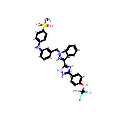 CS(=O)(=O)c1ccc(Nc2cccc(Cn3nc(-c4nc(-c5ccc(OC(F)(F)F)cc5)no4)c4ccccc43)c2)cc1